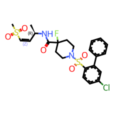 C[C@H](/C=C\S(C)(=O)=O)NC(=O)C1(F)CCN(S(=O)(=O)c2ccc(Cl)cc2-c2ccccc2)CC1